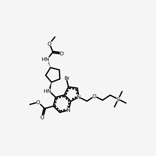 COC(=O)N[C@@H]1CC[C@@H](Nc2c(C(=O)OC)cnc3c2c(Br)cn3COCC[Si](C)(C)C)C1